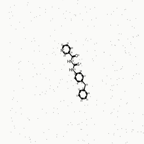 O=C(NC(=S)Nc1ccc(Cc2ccccc2)cc1)c1cccnc1